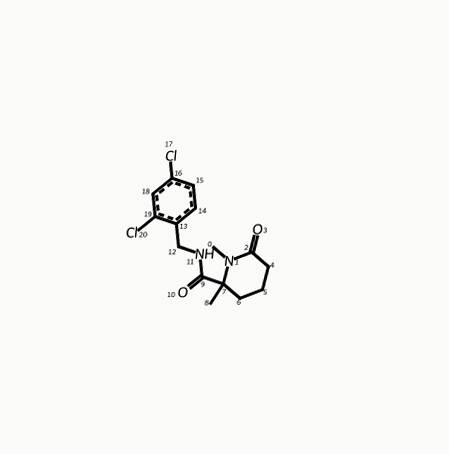 CN1C(=O)CCCC1(C)C(=O)NCc1ccc(Cl)cc1Cl